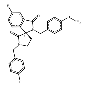 COc1ccc(CN2C(=O)c3cc(F)ccc3[C@]23CCN(Cc2ccc(F)cc2)C3=O)cc1